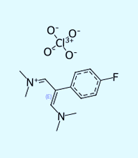 CN(C)/C=C(/C=[N+](C)C)c1ccc(F)cc1.[O-][Cl+3]([O-])([O-])[O-]